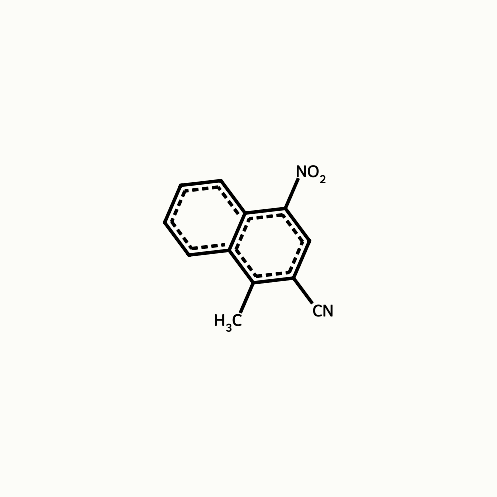 Cc1c(C#N)cc([N+](=O)[O-])c2ccccc12